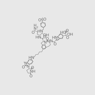 Cn1c(=O)n(C2CCC(=O)NC2=O)c2ccc(NCCCCCc3cc4c5c(c3)C[C@@H](C(=O)N[C@@H](CCC(N)=O)C(O)NCc3ccc(S(C)(=O)=O)cc3)N5C(=O)[C@@H](NC(=O)c3cc5cc(C(=O)P(=O)(O)O)ccc5[nH]3)CC4)cc21